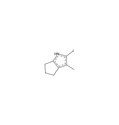 Cc1c(I)[nH]c2c1CCC2